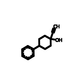 C#CC1(O)CCC(c2ccccc2)CC1